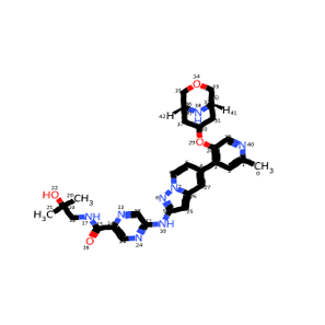 Cc1cc(-c2ccn3nc(Nc4cnc(C(=O)NCC(C)(C)O)cn4)cc3c2)c(OC2C[C@H]3COC[C@@H](C2)N3)cn1